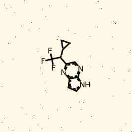 FC(F)(F)C(c1cnc2[nH]ccc2n1)C1CC1